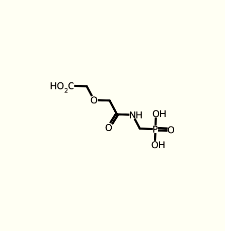 O=C(O)COCC(=O)NCP(=O)(O)O